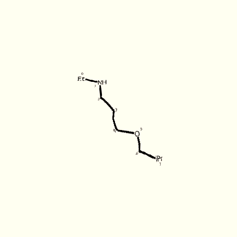 CCNCCCOCC(C)C